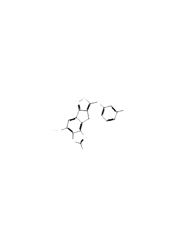 COc1cc2c(c3nc(C)oc13)Cc1c-2n[nH]c1Nc1cccc(F)c1